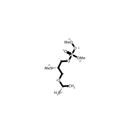 B[C@@H](C)OC[C@@H](COP(=O)(OC)OOC)SC